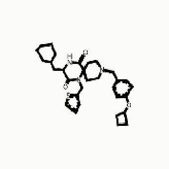 O=C1C(CC2CCCCC2)NC(=O)C2(CCN(Cc3ccc(OC4CCC4)cc3)CC2)N1Cc1cccs1